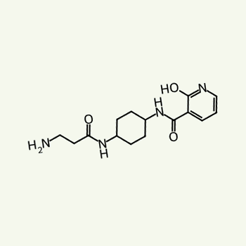 NCCC(=O)NC1CCC(NC(=O)c2cccnc2O)CC1